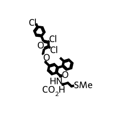 CSCCC(NC(=O)c1ccc(COCc2oc(-c3ccc(Cl)cc3)c(Cl)c2Cl)cc1-c1ccccc1C)C(=O)O